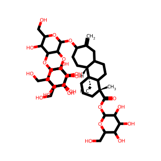 C=C1CC2CCC3[C@@](CC)(CCC[C@@]3(C)C(=O)OC3OC(CO)C(O)C(O)C3O)[C@@H]2CCC1OC1OC(CO)C(O)C(OC2OC(CO)C(O)C(O)C2O)C1OC1OC(CO)C(O)C(O)C1O